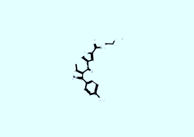 Cc1onc(-c2ccc(Br)cc2)c1C(=O)c1c[nH]c(C(=O)NCCO)c1